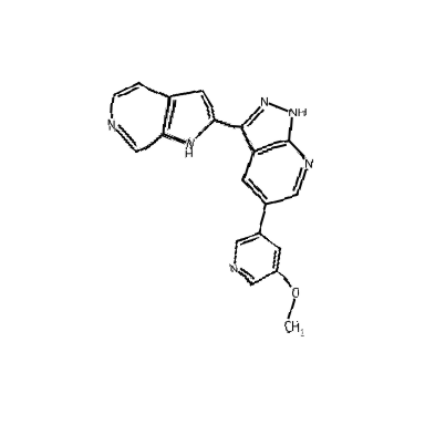 COc1cncc(-c2cnc3[nH]nc(-c4cc5ccncc5[nH]4)c3c2)c1